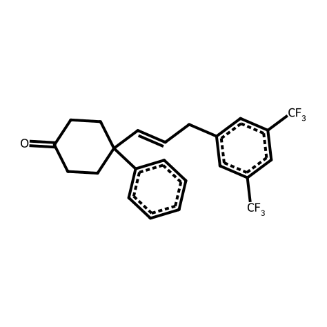 O=C1CCC(C=CCc2cc(C(F)(F)F)cc(C(F)(F)F)c2)(c2ccccc2)CC1